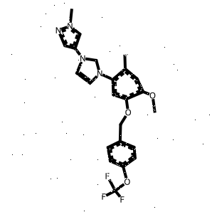 [CH2]c1cc(OC)c(OCc2ccc(OC(F)(F)F)cc2)cc1N1C=CN(c2cnn(C)c2)C1